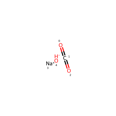 O=C=O.[Na+].[OH-]